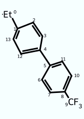 C[CH]c1ccc(-c2ccc(C(F)(F)F)cc2)cc1